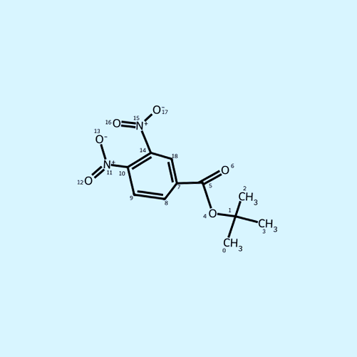 CC(C)(C)OC(=O)c1ccc([N+](=O)[O-])c([N+](=O)[O-])c1